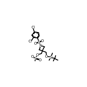 CC(C)(C)[Si](C)(C)OCC1(COS(C)(=O)=O)CN(S(=O)(=O)c2ccc(Cl)cc2Cl)C1